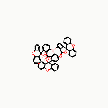 O=C1OC2(c3ccccc3Oc3ccccc32)c2cccc(B(c3cccc4c3C(=O)OC43c4ccccc4Oc4ccccc43)c3cccc4c3C(=O)OC43c4ccccc4Oc4ccccc43)c21